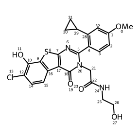 COc1ccc(-c2nc3sc4c(O)c(Cl)ccc4c3c(=O)n2CC(=O)NCCO)c(C2CC2)c1